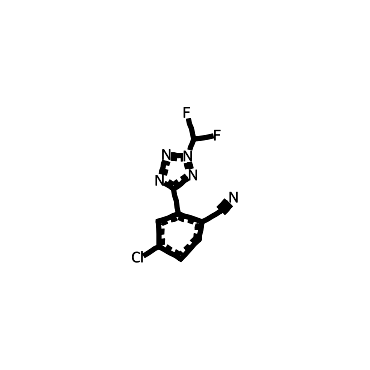 N#Cc1ccc(Cl)cc1-c1nnn(C(F)F)n1